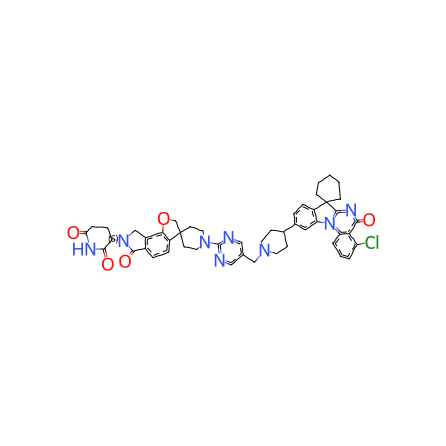 O=C1CC[C@H](N2Cc3c(ccc4c3OCC43CCN(c4ncc(CN5CCC(c6ccc7c(c6)-n6c(nc(=O)c8c(Cl)cccc86)C76CCCCC6)CC5)cn4)CC3)C2=O)C(=O)N1